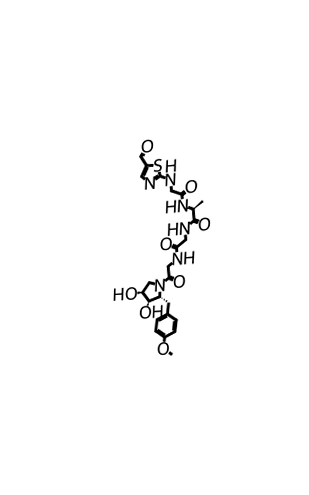 COc1ccc(C[C@@H]2[C@H](O)[C@@H](O)CN2C(=O)CNC(=O)CNC(=O)[C@H](C)NC(=O)CNc2ncc(C=O)s2)cc1